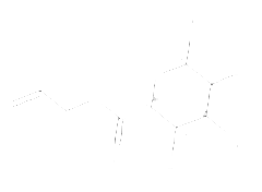 C=CCOC(=O)[C@@H]1OC(O)C(O)C(O)C1O